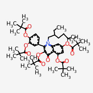 CCCCC(CC)Cn1c(-c2ccc(OC(=O)C(C)(C)C)c(OC(=O)C(C)(C)C)c2)c(OC(=O)C(C)(C)C)c(=O)c2c(OC(=O)C(C)(C)C)cc(OC(=O)C(C)(C)C)cc21